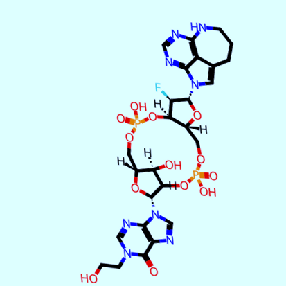 O=c1c2ncn([C@@H]3O[C@@H]4COP(=O)(O)O[C@H]5[C@@H](F)[C@H](n6cc7c8c(ncnc86)NCCC7)O[C@@H]5COP(=O)(O)O[C@@H]3[C@@H]4O)c2ncn1CCO